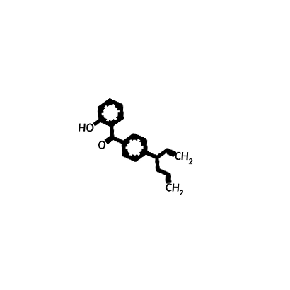 C=CCC(C=C)c1ccc(C(=O)c2ccccc2O)cc1